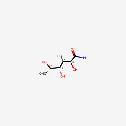 [NH]C(=O)[C@@H](O)[C@@H](O)[C@H](O)[C@@H](O)C=O